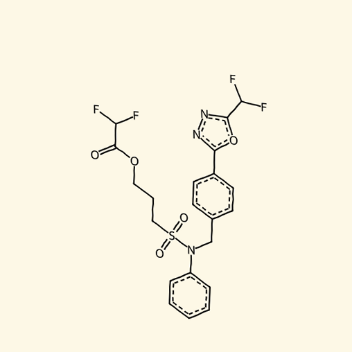 O=C(OCCCS(=O)(=O)N(Cc1ccc(-c2nnc(C(F)F)o2)cc1)c1ccccc1)C(F)F